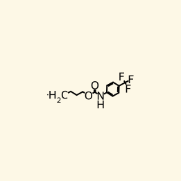 [CH2]CCCOC(=O)Nc1ccc(C(F)(F)F)cc1